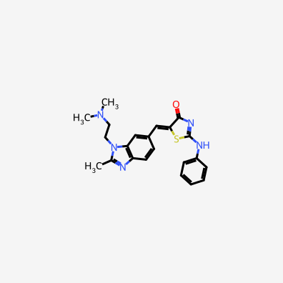 Cc1nc2ccc(/C=C3\SC(Nc4ccccc4)=NC3=O)cc2n1CCN(C)C